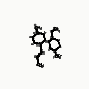 [CH2]C1CCN(CC)CC1.[CH2]CCN1CCN(C)CC1